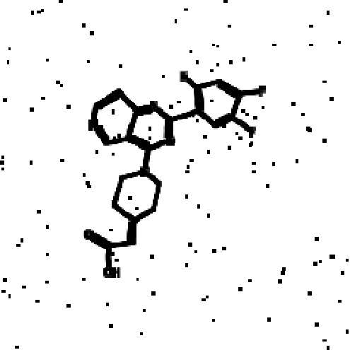 O=C(O)C=C1CCN(c2nc(-c3cc(F)c(F)cc3F)nc3ccncc23)CC1